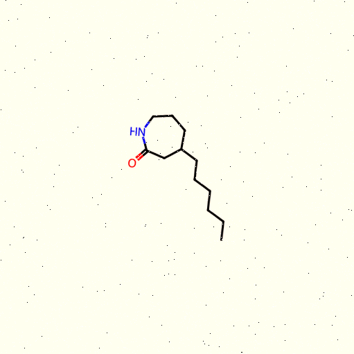 CCCCCCC1CCCNC(=O)C1